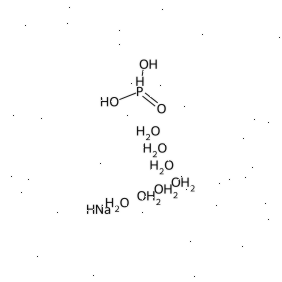 O.O.O.O.O.O.O.O=[PH](O)O.[NaH]